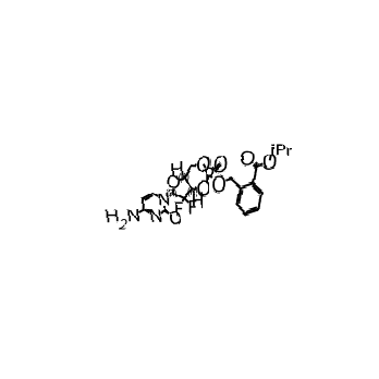 CC(C)OC(=O)c1ccccc1COP1(=O)OC[C@H]2O[C@@H](n3ccc(N)nc3=O)C(F)(F)[C@@H]2O1